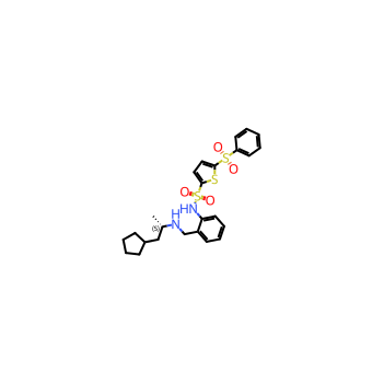 C[C@@H](CC1CCCC1)NCc1ccccc1NS(=O)(=O)c1ccc(S(=O)(=O)c2ccccc2)s1